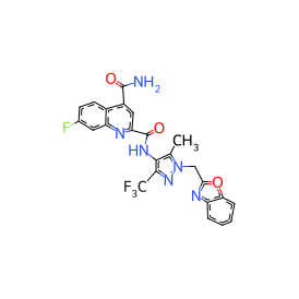 Cc1c(NC(=O)c2cc(C(N)=O)c3ccc(F)cc3n2)c(C(F)(F)F)nn1Cc1nc2ccccc2o1